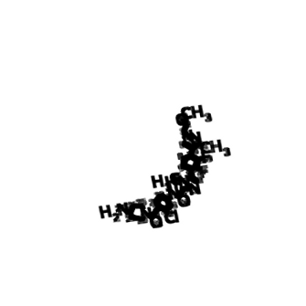 COCCn1cc(-c2ccc(-c3cnc(C(=O)Nc4ccc(C(=O)N5CCC(N)CC5)c(Cl)c4)n3C)c(F)c2F)c(C)n1